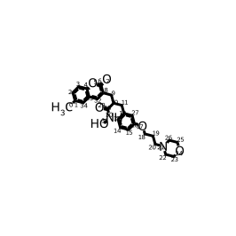 Cc1ccc2oc(=O)c(CC(Cc3cccc(OCCCN4CCOCC4)c3)C(=O)NO)cc2c1